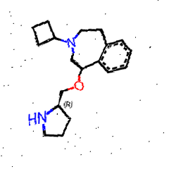 c1ccc2c(c1)CCN(C1CCC1)CC2OC[C@H]1CCCN1